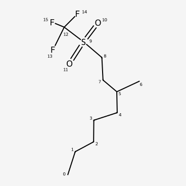 CCCCCC(C)CCS(=O)(=O)C(F)(F)F